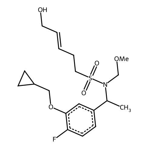 COCN(C(C)c1ccc(F)c(OCC2CC2)c1)S(=O)(=O)CCC=CCO